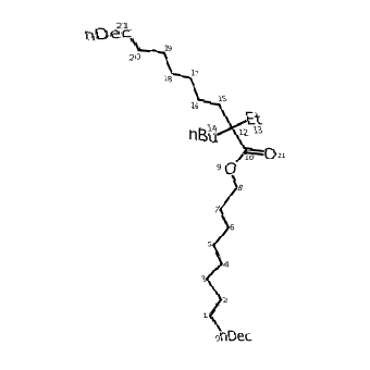 CCCCCCCCCCCCCCCCCCOC(=O)C(CC)(CCCC)CCCCCCCCCCCCCCCC